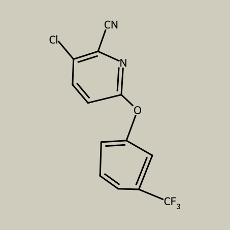 N#Cc1nc(Oc2cccc(C(F)(F)F)c2)ccc1Cl